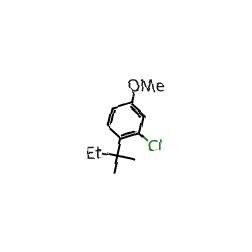 CCC(C)(C)c1ccc(OC)cc1Cl